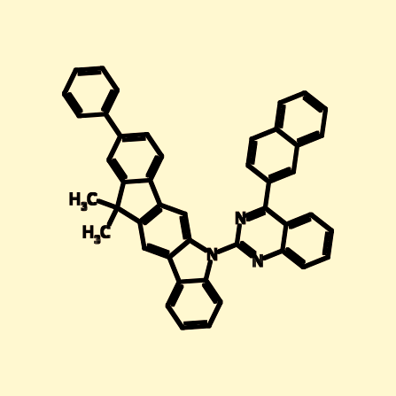 CC1(C)c2cc(-c3ccccc3)ccc2-c2cc3c(cc21)c1ccccc1n3-c1nc(-c2ccc3ccccc3c2)c2ccccc2n1